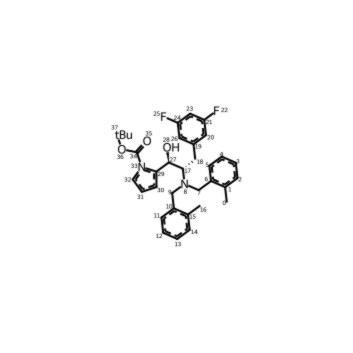 Cc1ccccc1CN(Cc1ccccc1C)[C@@H](Cc1cc(F)cc(F)c1)[C@H](O)c1cccn1C(=O)OC(C)(C)C